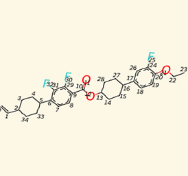 C=CC1CCC(c2ccc(C(=O)OC3CCC(c4ccc(OCC)c(F)c4)CC3)c(F)c2F)CC1